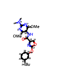 COc1nc(N(C)C)nc(OC)c1NC(=O)c1coc(Oc2cccc(C(C)(C)C)c2)n1